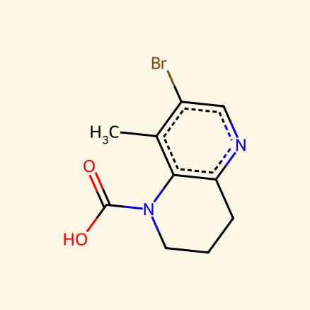 Cc1c(Br)cnc2c1N(C(=O)O)CCC2